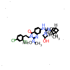 CON(C)c1nc2cc(N/C(=N/[C@H]3C[C@@H]4C[C@H]([C@@H]3C)C4(C)C)N3CC(O)C3)ccc2c(=O)n1CCc1ccc(Cl)cc1Cl